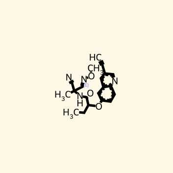 C#Cc1cnc2ccc(OC(CC)C(=O)NC(C)(C#N)/C=N/OC)cc2c1